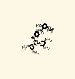 N[C@@H]1C[C@H](N)CN(c2nc(Nc3ccc(NC(=O)c4cc(OC(F)(F)F)ccc4O)cc3)nc(N3C[C@H](N)C[C@H](N)C3)n2)C1